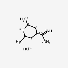 CC1CN(C(=N)N)CC(C)O1.Cl